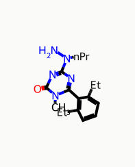 CCCN(N)c1nc(-c2c(CC)cccc2CC)n(C)c(=O)n1